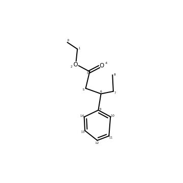 CCOC(=O)CC(CC)c1ccccc1